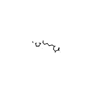 C=C(C(C)=O)C(CC(CCCCC(C)[C@@H]1O[C@H](CO)[C@@H](O)[C@@H]1O)C(C)=O)C(C)=O